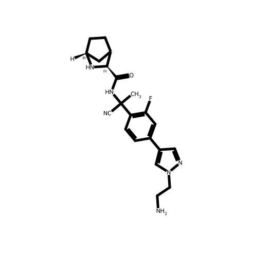 CC(C#N)(NC(=O)[C@H]1N[C@@H]2CCC1C2)c1ccc(-c2cnn(CCN)c2)cc1F